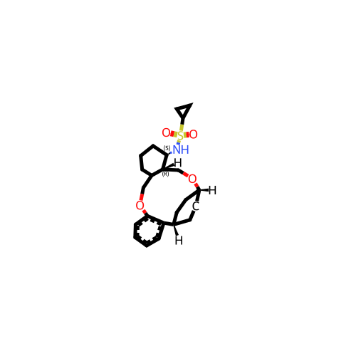 O=S(=O)(N[C@H]1CCCC2COc3ccccc3[C@H]3CC[C@H](CC3)OC[C@H]21)C1CC1